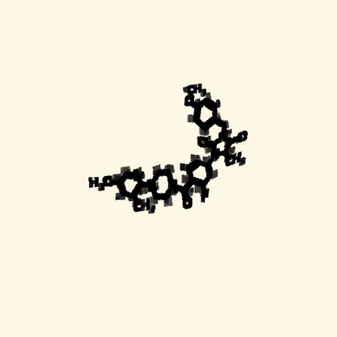 COc1ccc(CN2C(=O)C(C)N(c3ccc(C(=O)N4CCN(c5ncc(C)cc5C)CC4)c(F)c3)C2=O)cc1